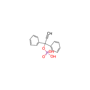 C#CC(OP(=O)(O)O)(c1ccccc1)c1ccccc1